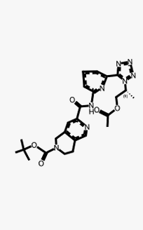 CC(=O)OC[C@@H](C)n1nnnc1-c1cccc(NC(=O)c2cc3c(cn2)CCN(C(=O)OC(C)(C)C)C3)n1